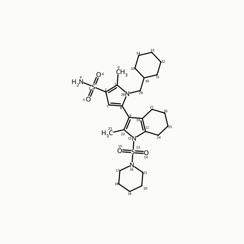 Cc1c(S(N)(=O)=O)cc(-c2c3c(n(S(=O)(=O)N4CCCCC4)c2C)CCCC3)n1CC1CCCCC1